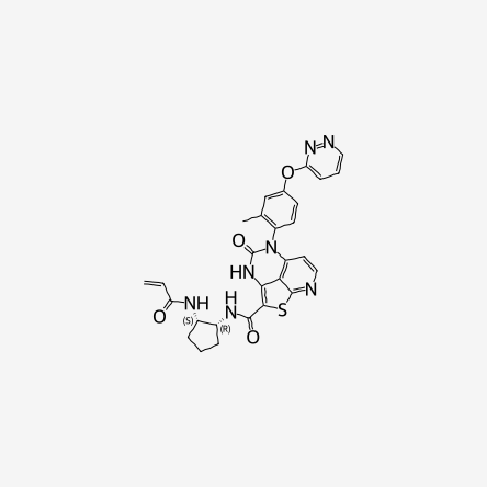 C=CC(=O)N[C@H]1CCC[C@H]1NC(=O)c1sc2nccc3c2c1NC(=O)N3c1ccc(Oc2cccnn2)cc1C